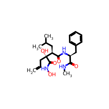 C=CC[C@](O)(C(=O)NO)[C@@H](CC(C)C)C(=O)N[C@@H](Cc1ccccc1)C(=O)NC